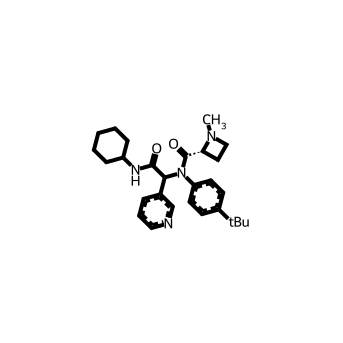 CN1CC[C@@H]1C(=O)N(c1ccc(C(C)(C)C)cc1)C(C(=O)NC1CCCCC1)c1cccnc1